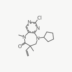 C=CC1(C)CN(C2CCCC2)c2nc(Cl)ncc2N(C)C1=O